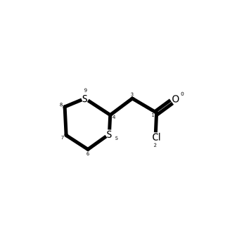 O=C(Cl)CC1SCCCS1